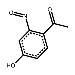 CC(=O)c1ccc(O)cc1N=O